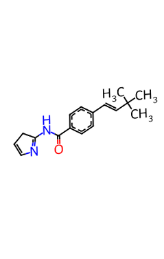 CC(C)(C)/C=C/c1ccc(C(=O)NC2=NC=CC2)cc1